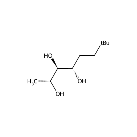 C[C@@H](O)[C@@H](O)[C@@H](O)CCC(C)(C)C